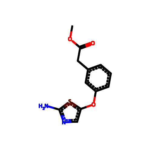 COC(=O)Cc1cccc(Oc2cnc(N)s2)c1